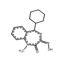 Cn1c(=O)/c(=N\O)nc(C2CCCCC2)c2ccccc21